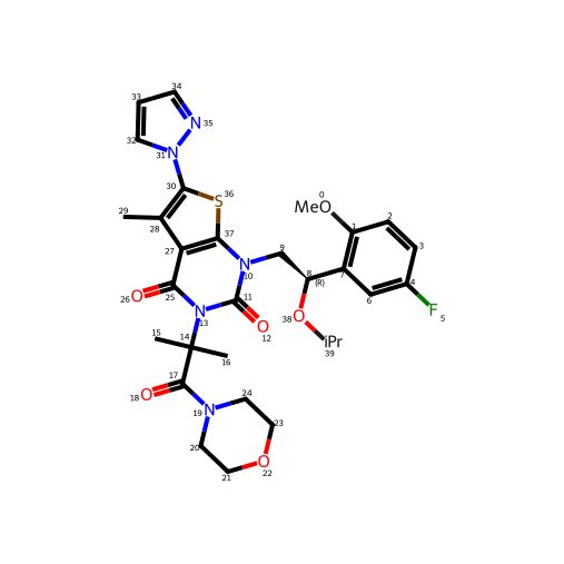 COc1ccc(F)cc1[C@H](Cn1c(=O)n(C(C)(C)C(=O)N2CCOCC2)c(=O)c2c(C)c(-n3cccn3)sc21)OC(C)C